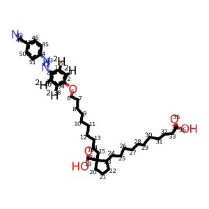 [2H]c1c([2H])c(OCCCCCCCCCCC2(C(=O)O)CCCC2CCCCCCCCCCC(=O)O)c([2H])c([2H])c1N=Nc1ccc(C#N)cc1